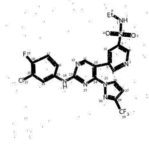 CCNS(=O)(=O)c1cncc(-c2cnc(Nc3ccc(F)c(Cl)c3)nc2-n2ccc(C(F)(F)F)n2)c1